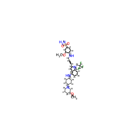 COc1cc(S(N)(=O)=O)ccc1NCC#Cc1cc2c(NC3CCC(N4CCCC(OC)C4)CC3)cccc2n1CC(F)(F)F